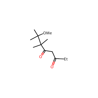 CCC(=O)CC(=O)C(C)(C)C(C)(C)OC